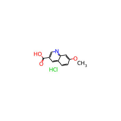 COc1ccc2cc(C(=O)O)cnc2c1.Cl